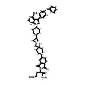 CNC(=O)C(CCC=O)N1C(=O)c2ccc(N3CCC(F)(CN4CC(N5CCC(n6nc(-c7ccc(Oc8ccccc8)cc7)c7c(N)ncnc76)CC5)C4)CC3)cc2C1=O